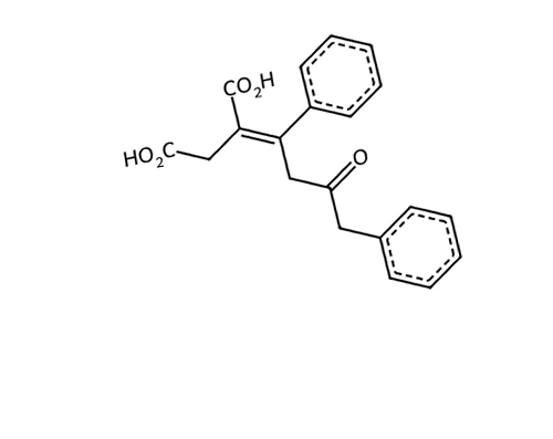 O=C(O)CC(C(=O)O)=C(CC(=O)Cc1ccccc1)c1ccccc1